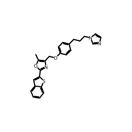 Cc1oc(-c2cc3ccccc3s2)nc1COc1ccc(CCCn2ccnc2)cc1